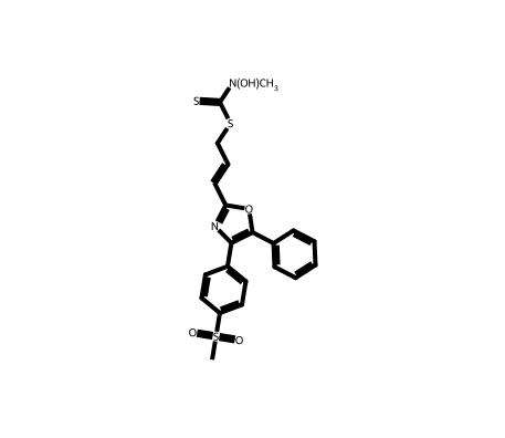 CN(O)C(=S)SCC=Cc1nc(-c2ccc(S(C)(=O)=O)cc2)c(-c2ccccc2)o1